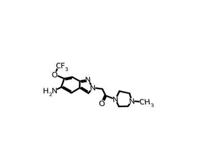 CN1CCN(C(=O)Cn2cc3cc(N)c(OC(F)(F)F)cc3n2)CC1